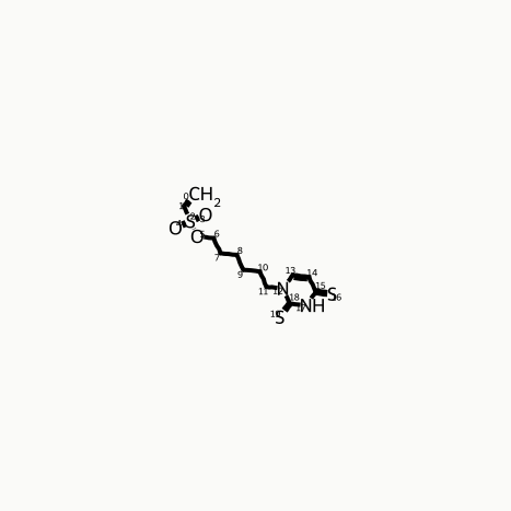 C=CS(=O)(=O)OCCCCCCn1ccc(=S)[nH]c1=S